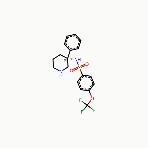 O=S(=O)(N[C@@]1(c2ccccc2)CCCNC1)c1ccc(OC(F)(F)F)cc1